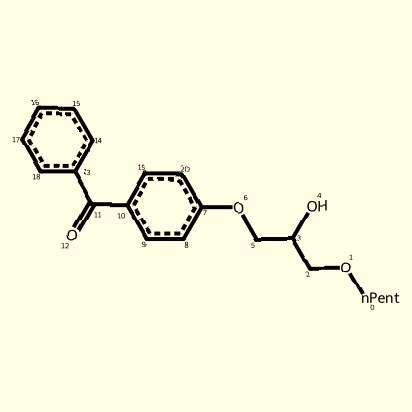 CCCCCOCC(O)COc1ccc(C(=O)c2ccccc2)cc1